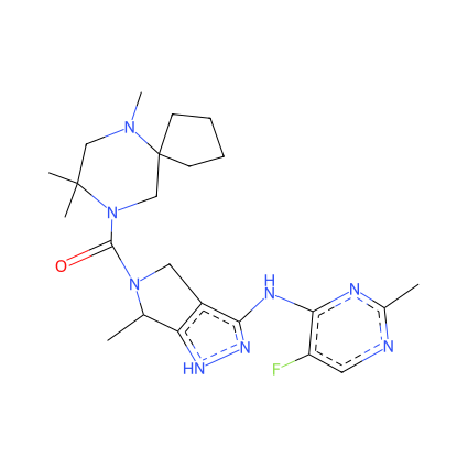 Cc1ncc(F)c(Nc2n[nH]c3c2CN(C(=O)N2CC4(CCCC4)N(C)CC2(C)C)C3C)n1